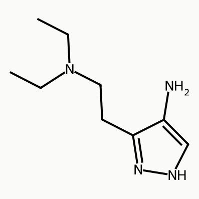 CCN(CC)CCc1n[nH]cc1N